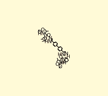 COC(=O)N[C@H](C(=O)N1C[Si](C)(C)C[C@H]1c1ncc(-c2ccc(-c3ccc(-c4cnc([C@@H]5[C@H]6CC[C@H](C6)N5C(=O)[C@@H](NC(=O)OC)C(C)C)[nH]4)cc3)cc2)[nH]1)C(C)C